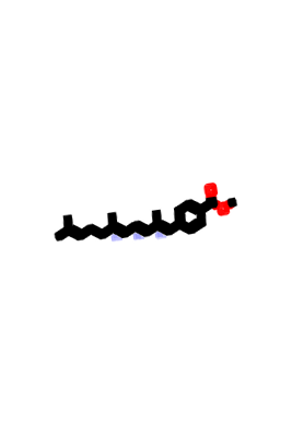 COC(=O)c1ccc(/C=C(C)/C=C/C=C(\C)CCC=C(C)C)cc1